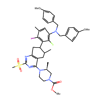 COc1ccc(CN(Cc2ccc(OC)cc2)c2cc(C)c(I)c(C3Cc4nc(S(C)(=O)=O)nc(N5CCN(C(=O)OC(C)(C)C)C[C@@H]5C)c4CC3C)c2F)cc1